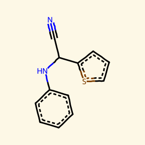 N#CC(Nc1ccccc1)c1cccs1